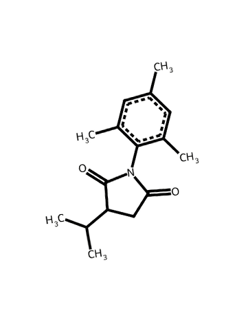 Cc1cc(C)c(N2C(=O)CC(C(C)C)C2=O)c(C)c1